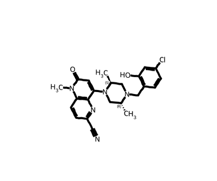 C[C@@H]1CN(c2cc(=O)n(C)c3ccc(C#N)nc23)[C@@H](C)CN1Cc1ccc(Cl)cc1O